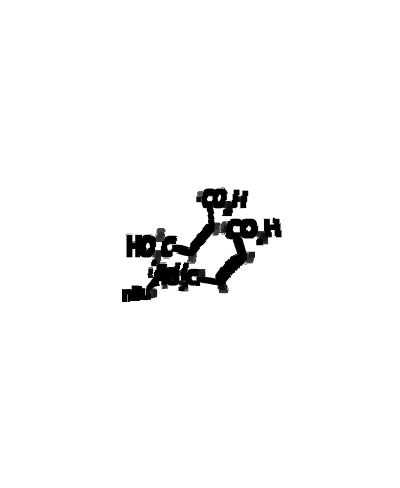 CCC[CH2][SnH].O=C(O)/C=C\C(=O)O.O=C(O)/C=C\C(=O)O